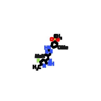 CNc1nc(Nc2cc(OC)cc(S(C)(=O)=O)c2)ncc1-c1n[nH]c2nc(C)c(F)cc12